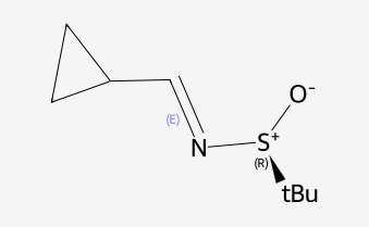 CC(C)(C)[S@+]([O-])/N=C/C1CC1